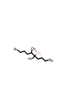 BC(CCC)(CCCC(C)(C)C)C(C)CCCC(C)CC